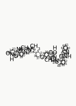 Cc1c(OC2CCC(CC[C@H](C)N3CCN(c4cccc5c(C6CCC(=O)NC6=O)nn(C)c45)CC3)CC2)cccc1-c1ccc(N2CCc3cccc(C(=O)Nc4nc5ccccc5s4)c3C2)nc1C(=O)O